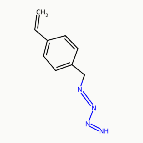 C=Cc1ccc(CN=NN=N)cc1